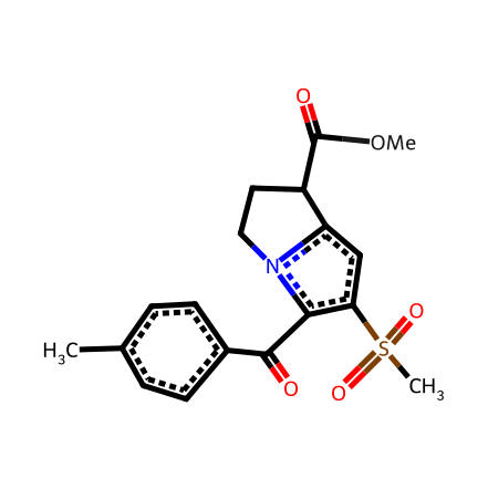 COC(=O)C1CCn2c1cc(S(C)(=O)=O)c2C(=O)c1ccc(C)cc1